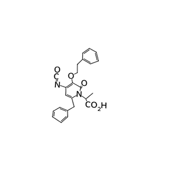 CC(C(=O)O)n1c(Cc2ccccc2)cc(N=C=O)c(OCCc2ccccc2)c1=O